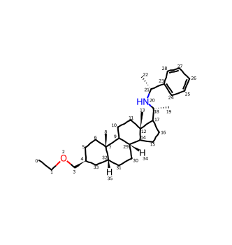 CCOC[C@H]1CC[C@]2(C)C3CC[C@@]4(C)C(CCC4[C@@H](C)N[C@H](C)c4ccccc4)[C@@H]3CC[C@@H]2C1